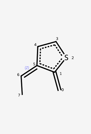 C=c1scc/c1=C/C